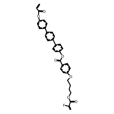 C=CC(=O)Oc1ccc(-c2ccc(-c3ccc(OC(=O)c4ccc(OCCCCOC(=O)C(=C)F)cc4)cc3)cc2)cc1